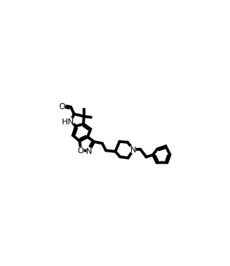 CC1(C)c2cc3c(CCC4CCN(CCc5ccccc5)CC4)noc3cc2NC1C=O